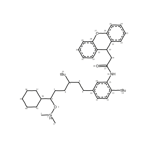 C[SiH](C)OC(CCC(CCc1ccc(C(C)(C)C)c(NC(=O)CC2c3ccccc3Oc3ccccc32)c1)C(C)(C)C)C1CCCCC1